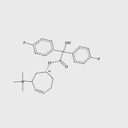 C[N+](C)(C)C1C=CCC[C@@H](OC(=O)C(O)(c2ccc(F)cc2)c2ccc(F)cc2)C1